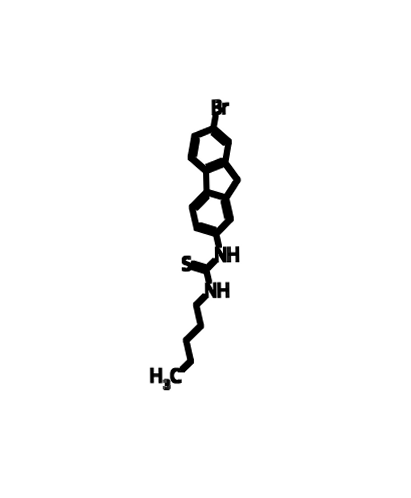 CCCCCNC(=S)Nc1ccc2c(c1)Cc1cc(Br)ccc1-2